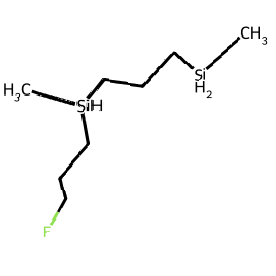 C[SiH2]CCC[SiH](C)CCCF